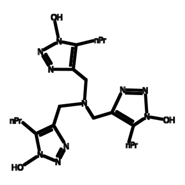 CCCc1c(CN(Cc2nnn(O)c2CCC)Cc2nnn(O)c2CCC)nnn1O